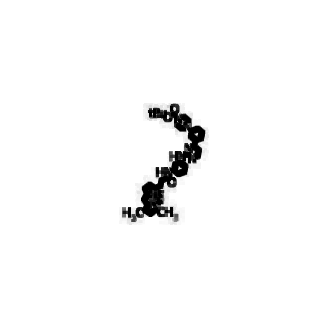 Cc1cc(C)n2c1C=C1C=CC(CCC(=O)Nc3cccc(Nc4nccc(-c5cccc(N6CCN(C(=O)OC(C)(C)C)CC6)c5)n4)c3)=[N+]1[B-]2(F)F